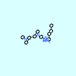 NC(/N=c1\[nH]cccc1-c1ccc2cc(-c3ccccc3)ccc2c1)c1ccc(-n2c3ccccc3c3cc(-c4ccc5c(c4)c4ccccc4n5-c4ccccc4)ccc32)cc1